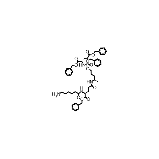 C[C@H](CCCOP(=O)(N[C@@H](CCC(=O)OCc1ccccc1)C(=O)OCc1ccccc1)OCc1ccccc1)NC(=O)CC[C@H](NC(=O)CCCCCN)C(=O)OCc1ccccc1